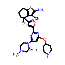 C[C@H]1CN(C)CCN1c1cc(OC2CCNCC2)nc(-c2cc(C3(C)CCCc4sc(N)c(C#N)c43)no2)n1